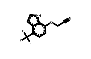 N#CCOc1ccc(C(F)(F)F)c2cc[nH]c12